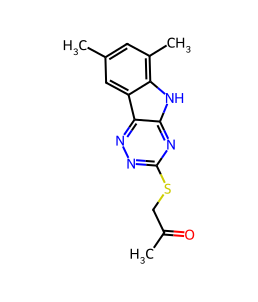 CC(=O)CSc1nnc2c(n1)[nH]c1c(C)cc(C)cc12